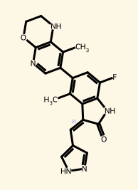 Cc1c(-c2cc(F)c3c(c2C)/C(=C/c2cn[nH]c2)C(=O)N3)cnc2c1NCCO2